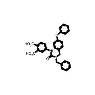 O=C(O)c1ccc(NC(=O)N(Cc2ccccc2)Cc2ccc(Oc3ccccc3)cc2)cc1C(=O)O